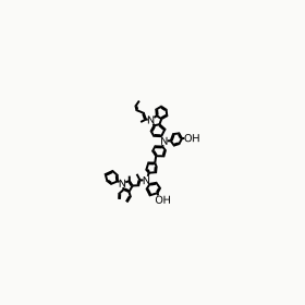 C=Cc1c(/C=C(\C)N(c2ccc(O)cc2)c2ccc(-c3ccc(N(c4ccc(O)cc4)c4ccc5c(c4)c4ccccc4n5/C(C)=C/C=C\C)cc3)cc2)c(C)n(-c2ccccc2)c1C=C